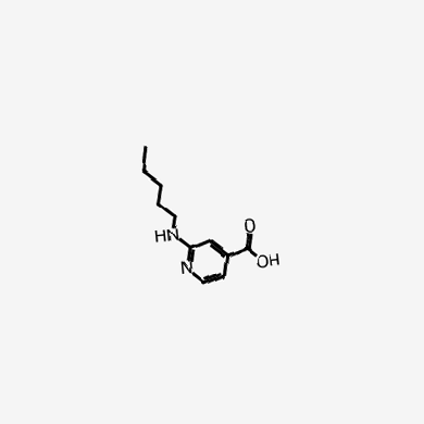 CCCCCNc1cc(C(=O)O)ccn1